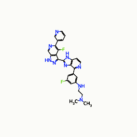 CN(C)CCNc1cc(F)cc(-c2nccc3[nH]c(-c4n[nH]c5cnc(-c6cccnc6)c(F)c45)nc23)c1